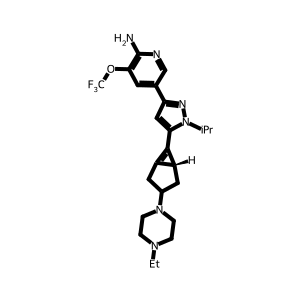 CCN1CCN(C2CC3=C(c4cc(-c5cnc(N)c(OC(F)(F)F)c5)nn4C(C)C)[C@@H]3C2)CC1